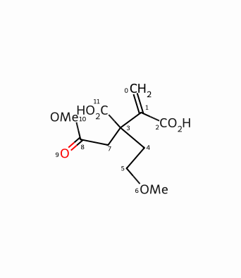 C=C(C(=O)O)C(CCOC)(CC(=O)OC)C(=O)O